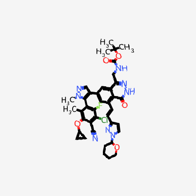 Cc1c(OC2CC2)c(C#N)c(Cl)c(F)c1-c1c(-c2cc(/C=C/c3ccn(C4CCCCO4)n3)c3c(=O)[nH]nc(CNC(=O)OC(C)(C)C)c3c2)cnn1C